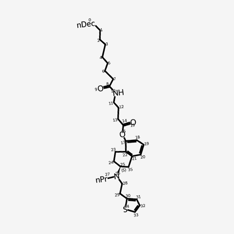 CCCCCCCCCCCCCCCCCC(=O)NCCCC(=O)Oc1cccc2c1CC[C@H](N(CCC)CCc1cccs1)C2